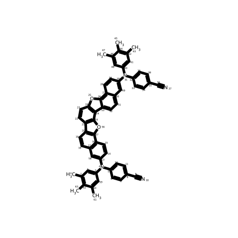 Cc1cc(N(c2ccc(C#N)cc2)c2ccc3c(ccc4c5ccc6oc7c8ccc(N(c9ccc(C#N)cc9)c9cc(C)c(C)c(C)c9)cc8ccc7c6c5oc34)c2)cc(C)c1C